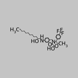 CCCCCCCCCCC(O)CNc1ccc(CN(C(=O)C(=O)O)C(CC)c2ccc(C(F)(F)F)cc2)cc1